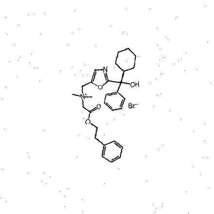 C[N+](C)(CC(=O)OCCc1ccccc1)Cc1cnc(C(O)(c2ccccc2)C2CCCCC2)o1.[Br-]